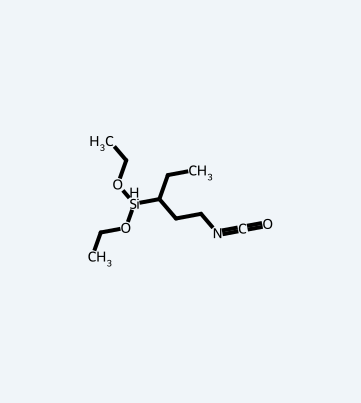 CCO[SiH](OCC)C(CC)CCN=C=O